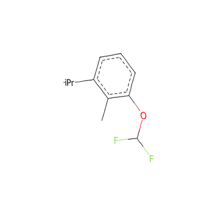 C[C](C)c1cccc(OC(F)F)c1C